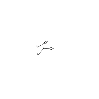 CC[O].C[O]